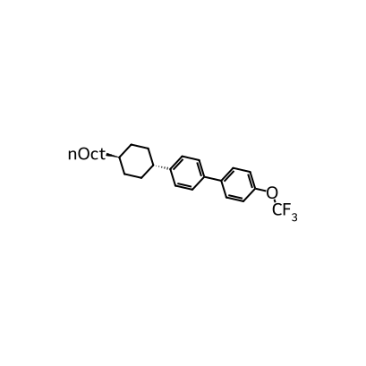 CCCCCCCC[C@H]1CC[C@H](c2ccc(-c3ccc(OC(F)(F)F)cc3)cc2)CC1